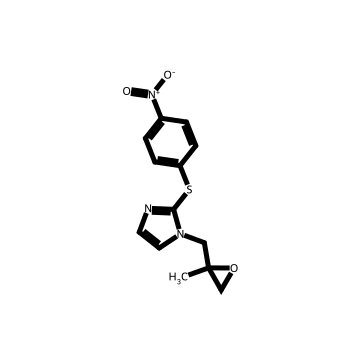 CC1(Cn2ccnc2Sc2ccc([N+](=O)[O-])cc2)CO1